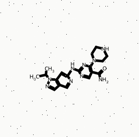 CC(C)n1ncc2cnc(Nc3ncc(C(N)=O)c(N4CCNCC4)n3)cc21